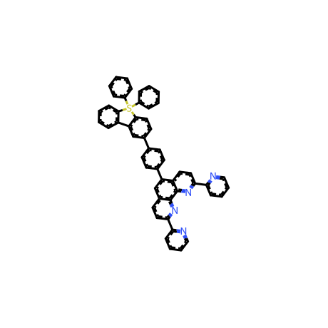 c1ccc(S2(c3ccccc3)c3ccccc3-c3cc(-c4ccc(-c5cc6ccc(-c7ccccn7)nc6c6nc(-c7ccccn7)ccc56)cc4)ccc32)cc1